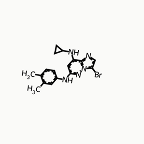 Cc1ccc(Nc2cc(NC3CC3)c3ncc(Br)n3n2)cc1C